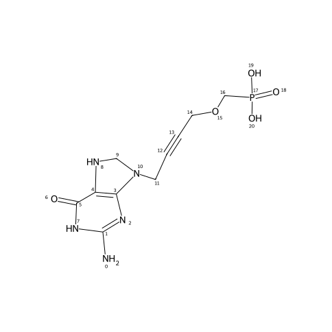 Nc1nc2c(c(=O)[nH]1)NCN2CC#CCOCP(=O)(O)O